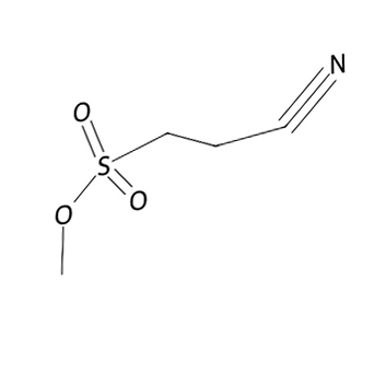 COS(=O)(=O)CCC#N